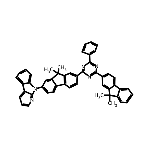 CC1(C)c2ccccc2-c2ccc(-c3nc(-c4ccccc4)nc(-c4ccc5c(c4)C(C)(C)c4cc(-n6c7ccccc7c7cccnc76)ccc4-5)n3)cc21